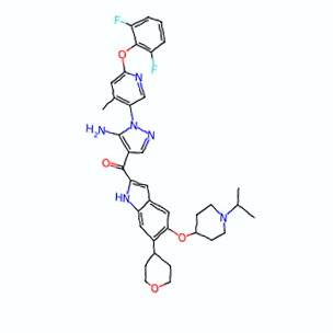 Cc1cc(Oc2c(F)cccc2F)ncc1-n1ncc(C(=O)c2cc3cc(OC4CCN(C(C)C)CC4)c(C4CCOCC4)cc3[nH]2)c1N